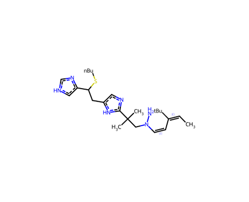 C/C=C(\C=C/N(N)CC(C)(C)c1ncc(CC(SCCCC)c2c[nH]cn2)[nH]1)C(C)(C)C